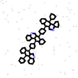 c1ccc(-c2c3ccccc3c(-c3ccc(-c4c5ccccc5c(-c5ccc(-c6c7ccccc7c(-c7ccccc7)c7c6cnc6ccccc67)cc5)c5c4cnc4ccccc45)cc3)c3cnc4ccccc4c23)cc1